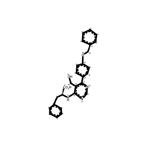 O=C(O)[C@H](Cc1ccccc1)Nc1ncnc(-c2ccc(OCc3ccccc3)cc2)c1CO